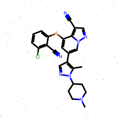 Cc1c(-c2cc(Sc3cccc(Cl)c3C#N)c3c(C#N)cnn3c2)cnn1C1CCN(C)CC1